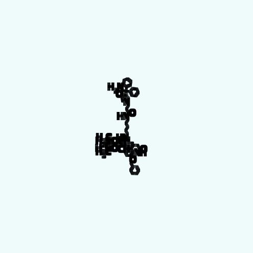 C[SiH2]OC(O[SiH2]C)C(C)(C)[C@H](CNCCCCCNC(=O)CCN1CC[C@@H](C(C(N)=O)(c2ccccc2)c2ccccc2)C1)c1ccc(OCc2ccccc2)c2[nH]c(=O)ccc12